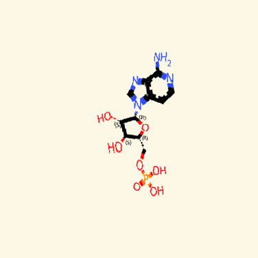 Nc1nccc2c1ncn2[C@@H]1O[C@H](COP(=O)(O)O)[C@@H](O)[C@@H]1O